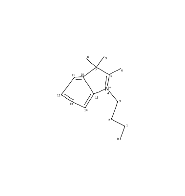 CCCC[N+]1=C(C)C(C)(C)c2ccccc21